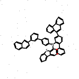 c1ccc(-c2ccc(-c3cc4ccccc4c4ccccc34)cc2N(c2ccc(-c3cccc(-c4ccc5ccccc5c4)c3)cc2)c2cccc3c2sc2ccccc23)cc1